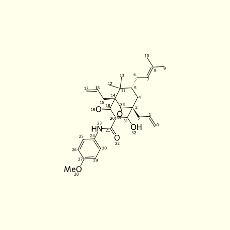 C=CC[C@@]12C[C@@H](CC=C(C)C)C(C)(C)[C@@](CC=C)(C(=O)C(C(=O)Nc3ccc(OC)cc3)=C1O)C2=O